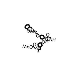 COC(=O)Cn1c(C)cc2cc(OC[C@H]3CNCC(=O)N3c3ccc(OCCCOCc4ccccc4OC)cc3)ccc21